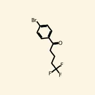 O=C(CCCC(F)(F)F)c1ccc(Br)cc1